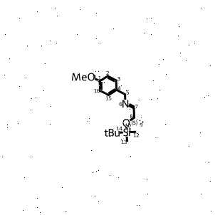 COc1ccc(CN=C[C@H](C)O[Si](C)(C)C(C)(C)C)cc1